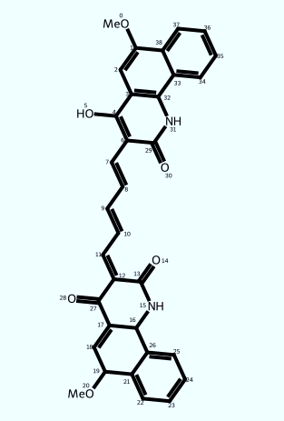 COc1cc2c(O)c(C=CC=CC=C3C(=O)NC4C(=CC(OC)c5ccccc54)C3=O)c(=O)[nH]c2c2ccccc12